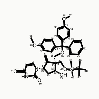 C=C1[C@@H](n2ccc(=O)[nH]c2=O)C[C@H](O)[C@]1(COC(c1ccccc1)(c1ccc(OC)cc1)c1ccc(OC)cc1)CO[Si](C)(C)C(C)(C)C